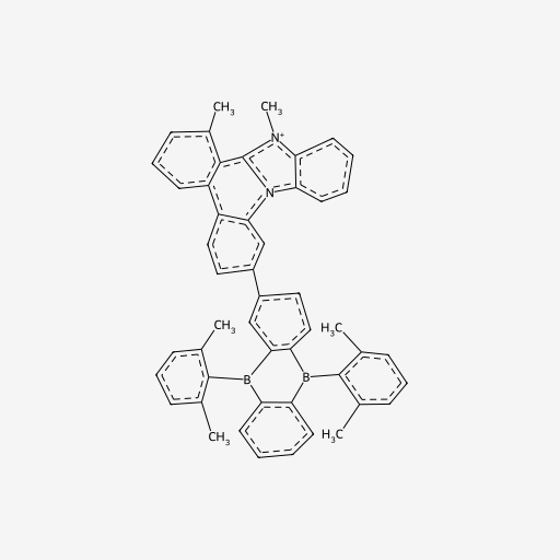 Cc1cccc(C)c1B1c2ccccc2B(c2c(C)cccc2C)c2cc(-c3ccc4c5cccc(C)c5c5n(c4c3)c3ccccc3[n+]5C)ccc21